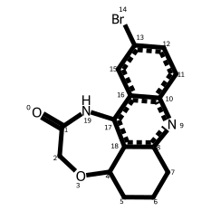 O=C1COC2CCCc3nc4ccc(Br)cc4c(c32)N1